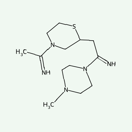 CC(=N)N1CCSC(CC(=N)N2CCN(C)CC2)C1